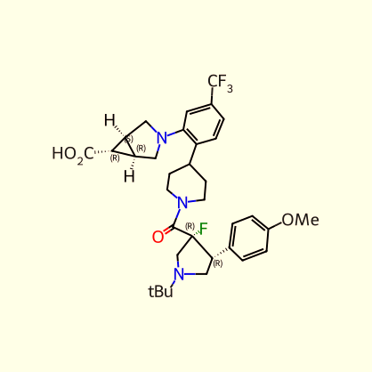 COc1ccc([C@@H]2CN(C(C)(C)C)C[C@@]2(F)C(=O)N2CCC(c3ccc(C(F)(F)F)cc3N3C[C@@H]4[C@H](C3)[C@H]4C(=O)O)CC2)cc1